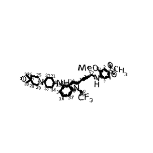 COc1cc(S(C)(=O)=O)ccc1NCC#Cc1cc2c(N[C@H]3CC[C@H](N4CCC5(CC4)COC5)CC3)cccc2n1CC(F)(F)F